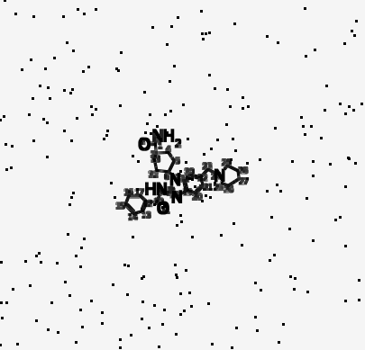 NC(=O)C1CCC(n2c(NC(=O)c3ccccc3)nc3ccc(CN4CCCCC4)cc32)CC1